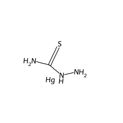 NNC(N)=S.[Hg]